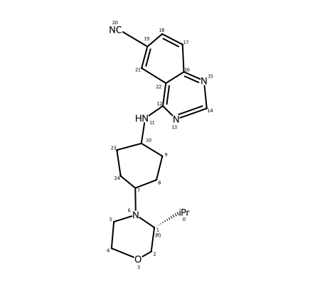 CC(C)[C@@H]1COCCN1C1CCC(Nc2ncnc3ccc(C#N)cc23)CC1